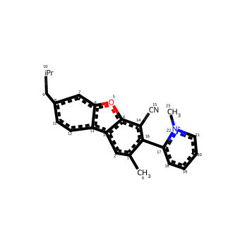 Cc1cc2c(oc3cc(CC(C)C)ccc32)c(C#N)c1-c1cccc[n+]1C